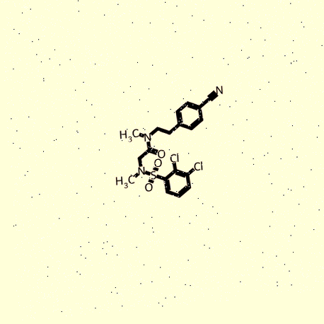 CN(CCc1ccc(C#N)cc1)C(=O)CN(C)S(=O)(=O)c1cccc(Cl)c1Cl